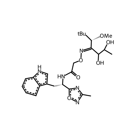 CO[C@H](/C(=N/OCC(=O)N[C@@H](Cc1c[nH]c2ccccc12)c1nc(C)no1)C(O)C(C)O)C(C)(C)C